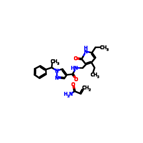 C=CC(N)=O.CCc1cc(CC)c(CNC(=O)c2cnn(C(C)c3ccccc3)c2)c(=O)[nH]1